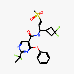 CC(F)(F)c1ncc(C(=O)NC(/C=C/S(C)(=O)=O)C2CC(F)(F)C2)c(Oc2ccccc2)n1